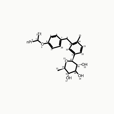 CCCC(CC)Oc1ccc(Cc2cc([C@@H]3O[C@H](C)[C@@H](O)C(O)[C@H]3O)ccc2C)cc1